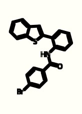 O=C(Nc1ccccc1-c1cc2ccccc2s1)c1ccc(Br)cc1